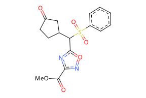 COC(=O)c1noc(C(C2CCC(=O)C2)S(=O)(=O)c2ccccc2)n1